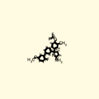 COc1ccc(F)c(-c2cccc(C3(c4ccc(OC(F)F)c(C)c4)CCC(N)=N3)c2)c1